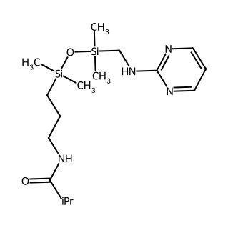 CC(C)C(=O)NCCC[Si](C)(C)O[Si](C)(C)CNc1ncccn1